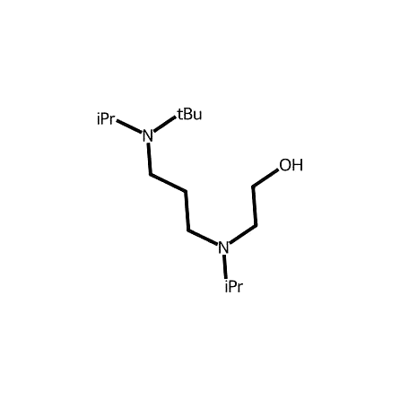 CC(C)N(CCO)CCCN(C(C)C)C(C)(C)C